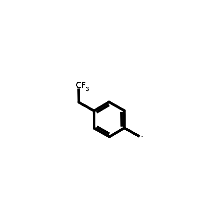 [CH2]c1ccc(CC(F)(F)F)cc1